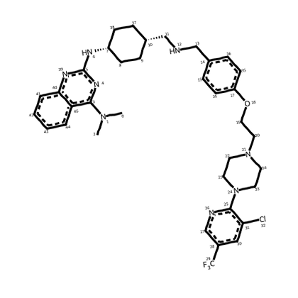 CN(C)c1nc(N[C@H]2CC[C@@H](CNCc3ccc(OCCN4CCN(c5ncc(C(F)(F)F)cc5Cl)CC4)cc3)CC2)nc2ccccc12